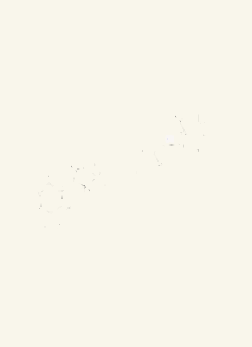 CC(=O)Oc1cccc(-c2noc(C(C)CCCC(=O)/C=C/C(=N)C(C)(F)F)n2)c1